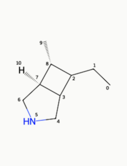 CCC1C2CNC[C@H]2[C@@H]1C